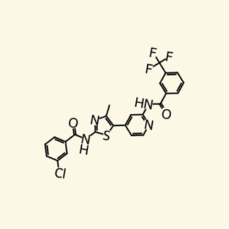 Cc1nc(NC(=O)c2cccc(Cl)c2)sc1-c1ccnc(NC(=O)c2cccc(C(F)(F)F)c2)c1